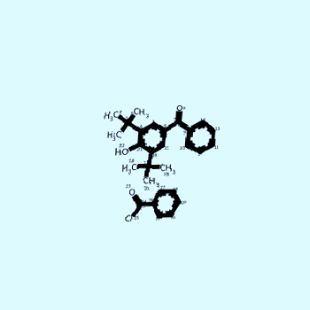 CC(C)(C)c1cc(C(=O)c2ccccc2)cc(C(C)(C)C)c1O.O=C(Cl)c1ccccc1